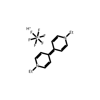 CCN1C=CC(=C2C=CN(CC)C=C2)C=C1.F[P-](F)(F)(F)(F)F.[H+]